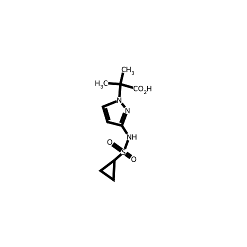 CC(C)(C(=O)O)n1ccc(NS(=O)(=O)C2CC2)n1